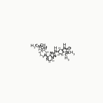 CN(C)CC1(O)CCCN(c2nccn3nc(Nc4ccc5c(c4)NC(=O)C5(C)C)nc23)CC1